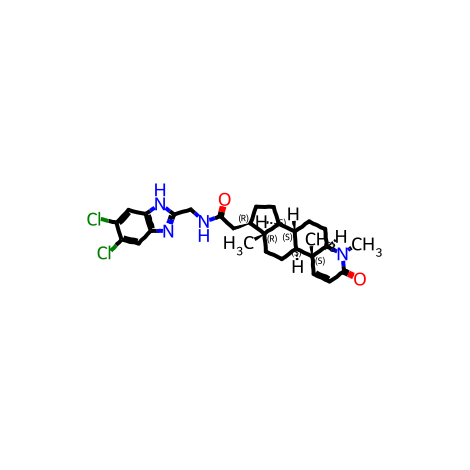 CN1C(=O)C=C[C@]2(C)[C@H]3CC[C@]4(C)[C@@H](CC(=O)NCc5nc6cc(Cl)c(Cl)cc6[nH]5)CC[C@H]4[C@@H]3CC[C@@H]12